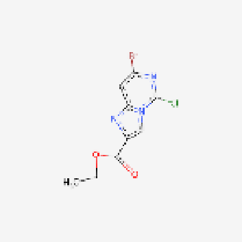 CCOC(=O)c1cn2c(Cl)nc(Br)cc2n1